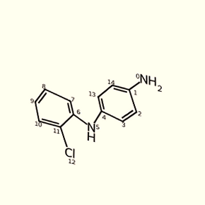 Nc1ccc(Nc2ccccc2Cl)cc1